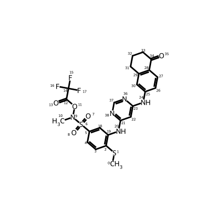 CSc1ccc(S(=O)(=O)N(C)OC(=O)C(F)(F)F)cc1Nc1cc(Nc2ccc3c(c2)CCCC3=O)ncn1